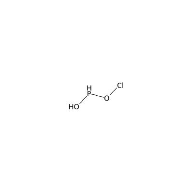 OPOCl